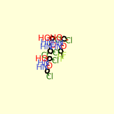 O=C(Nc1cc(Cl)cc(Cl)c1)Nc1cc(Cl)ccc1O.O=C(Nc1ccc(C(F)(F)F)cc1)Nc1cc(Cl)ccc1O.O=C(Nc1ccc(Cl)cc1)Nc1cc(Cl)ccc1O